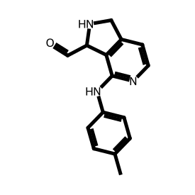 Cc1ccc(Nc2nccc3c2C(C=O)NC3)cc1